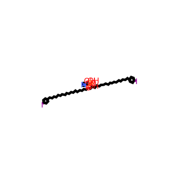 C[N+](C)(C)CC(O)P(=O)(O)O.Ic1ccc(CCCCCCCCCCCCCCCCCCOCCCCCCCCCCCCCCCCCCc2ccc(I)cc2)cc1